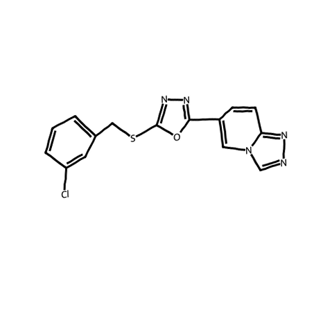 Clc1cccc(CSc2nnc(-c3ccc4nncn4c3)o2)c1